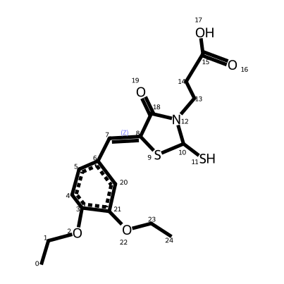 CCOc1ccc(/C=C2\SC(S)N(CCC(=O)O)C2=O)cc1OCC